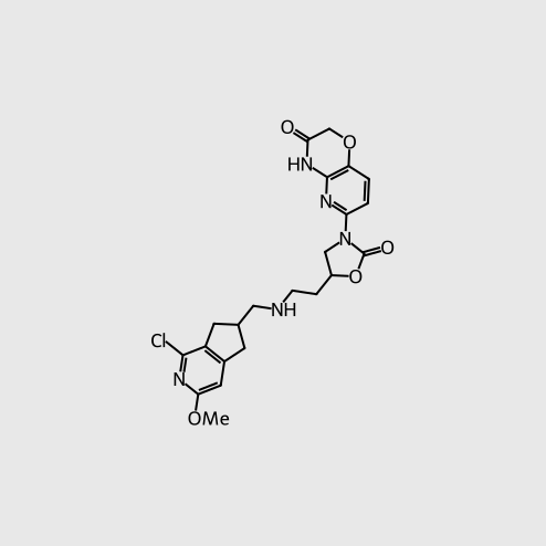 COc1cc2c(c(Cl)n1)CC(CNCCC1CN(c3ccc4c(n3)NC(=O)CO4)C(=O)O1)C2